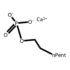 CCCCCCCOP(=O)([O-])[O-].[Ca+2]